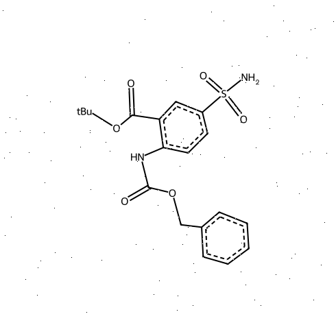 CC(C)(C)OC(=O)c1cc(S(N)(=O)=O)ccc1NC(=O)OCc1ccccc1